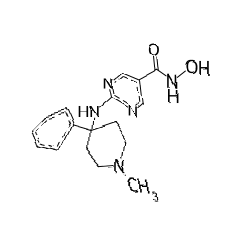 CN1CCC(Nc2ncc(C(=O)NO)cn2)(c2ccccc2)CC1